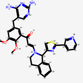 COc1cc(Cc2cnc(N)nc2N)cc(C(=O)/C=C/N2CCc3ccccc3C2c2csc(-c3cccnc3)n2)c1OC